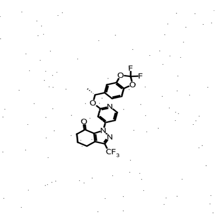 C[C@@H](Oc1cc(-n2nc(C(F)(F)F)c3c2C(=O)CCC3)ccn1)c1ccc2c(c1)OC(F)(F)O2